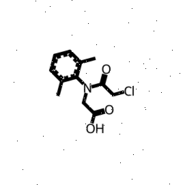 Cc1cccc(C)c1N(CC(=O)O)C(=O)CCl